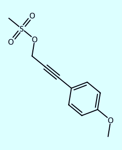 COc1ccc(C#CCOS(C)(=O)=O)cc1